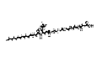 CCCCCCCCCCCCCCCC(=O)NC(CCC(=O)NCCCOCCOCCOCCCNC(=O)CCC(=O)O)C(=O)OC(C)(C)C